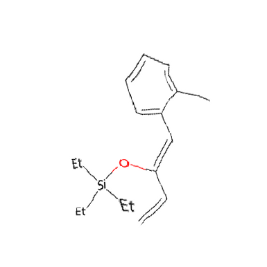 C=CC(=Cc1ccccc1C)O[Si](CC)(CC)CC